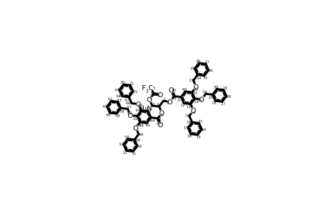 NC(OC(=O)C(F)(F)F)C(COC(=O)c1cc(OCc2ccccc2)c(OCc2ccccc2)c(OCc2ccccc2)c1)OC(=O)c1cc(OCc2ccccc2)c(OCc2ccccc2)c(OCc2ccccc2)c1